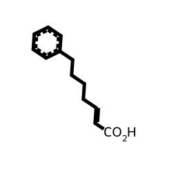 O=C(O)/C=C/CCCCc1ccccc1